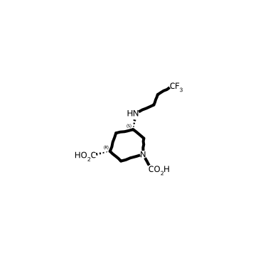 O=C(O)[C@@H]1C[C@H](NCCC(F)(F)F)CN(C(=O)O)C1